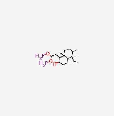 CC[C@@]1(C)[C@H]2CCC(=O)[C@@H](CC(OP)OP)[C@]2(C)CC[C@H]1C